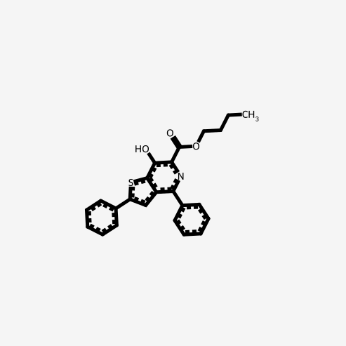 CCCCOC(=O)c1nc(-c2ccccc2)c2cc(-c3ccccc3)sc2c1O